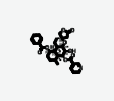 CC1=CC[C@@H](OC(=O)c2ccccc2)[C@H]2[C@@]1(C)[C@@H](OC(=O)c1cccnc1)[C@H](O)[C@]1(C)O[C@@]3(CC[C@]21C)COC(=O)C3